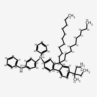 CCCCCCCCCCC1(CCCCCCCCCC)c2cc(N(c3ccccc3)c3ccc(Nc4ccccc4)cc3)ccc2-c2ccc(C(C)(CC)CC)cc21